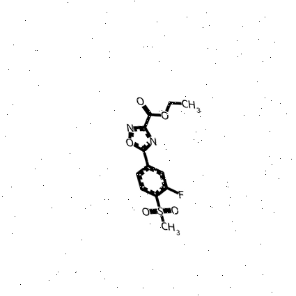 CCOC(=O)c1noc(-c2ccc(S(C)(=O)=O)c(F)c2)n1